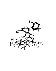 CC(C)(C)OC(=O)N[C@H]1C(CO[Si](C)(C)C(C)(C)C)C(O)CO[C@@H]1c1cc(F)ccc1F